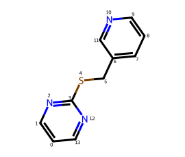 c1cnc(SCc2cccnc2)nc1